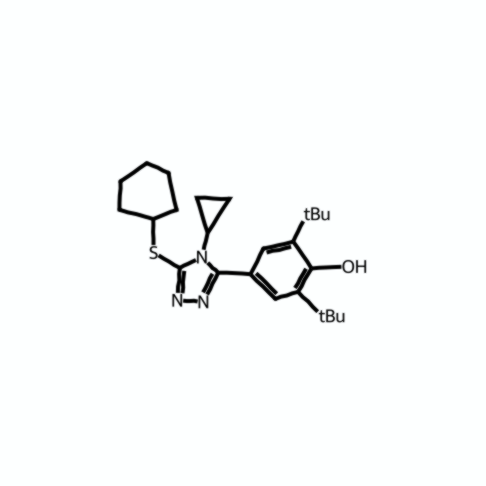 CC(C)(C)c1cc(-c2nnc(SC3CCCCC3)n2C2CC2)cc(C(C)(C)C)c1O